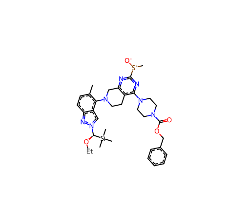 CCO[C@@H](n1cc2c(N3CCc4c(nc([S+](C)[O-])nc4N4CCN(C(=O)OCc5ccccc5)CC4)C3)c(C)ccc2n1)[Si](C)(C)C